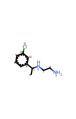 CC(NCCN)c1cccc(Cl)c1